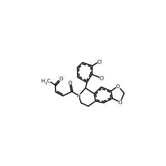 CC(=O)/C=C\C(=O)N1CCc2cc3c(cc2C1c1cccc(Cl)c1Cl)OCO3